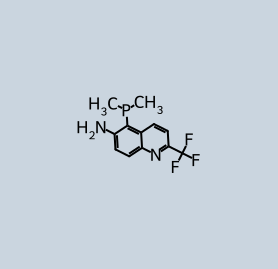 CP(C)c1c(N)ccc2nc(C(F)(F)F)ccc12